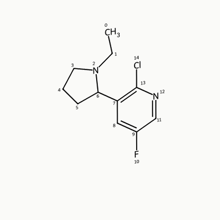 CCN1CCCC1c1cc(F)cnc1Cl